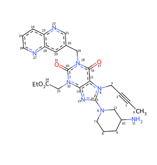 CC#CCn1c(N2CCCC(N)C2)nc2c1c(=O)n(Cc1cnc3cccnc3c1)c(=O)n2CC(=O)OCC